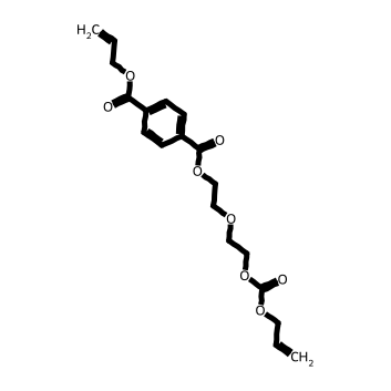 C=CCOC(=O)OCCOCCOC(=O)c1ccc(C(=O)OCC=C)cc1